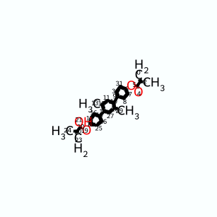 C=C(C)C(=O)Oc1ccc(-c2cc(C)c(-c3ccc(OC(O)C(=C)C)cc3)cc2C)cc1